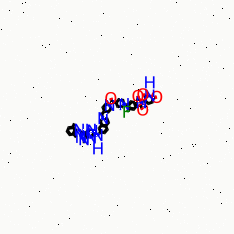 Cc1cccc(C)c1Nc1nn(C)c2nc(Nc3ccc4c(c3)CN(CC3CCN(C(=O)C5CCN(c6cc7c(cc6F)C(=O)N(C6CCC(=O)NC6=O)C7=O)CC5)CC3)CC4)ncc12